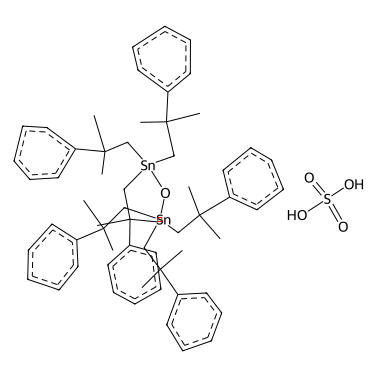 CC(C)([CH2][Sn]([CH2]C(C)(C)c1ccccc1)([CH2]C(C)(C)c1ccccc1)[O][Sn]([CH2]C(C)(C)c1ccccc1)([CH2]C(C)(C)c1ccccc1)[CH2]C(C)(C)c1ccccc1)c1ccccc1.O=S(=O)(O)O